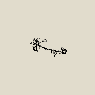 COC(=O)C1=C(C(F)(F)F)NC(C)=C(C(=O)OCCCCCCNCC(O)COc2ccccc2OC)C1c1cccc(F)c1.Cl